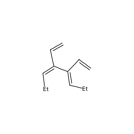 C=CC(=CCC)C(C=C)=CCC